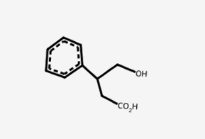 O=C(O)CC(CO)c1ccccc1